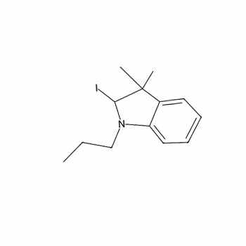 CCCN1c2ccccc2C(C)(C)C1I